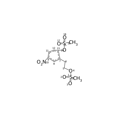 CS(=O)(=O)OCCc1cc([N+](=O)[O-])ccc1OS(C)(=O)=O